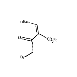 CCCCC=C(C(=O)CBr)C(=O)OCC